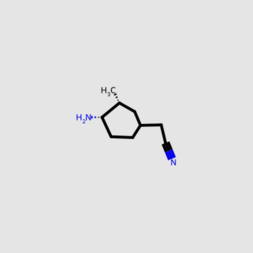 C[C@@H]1CC(CC#N)CC[C@@H]1N